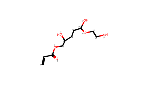 C=CC(=O)OCC(O)CCC(O)OCCO